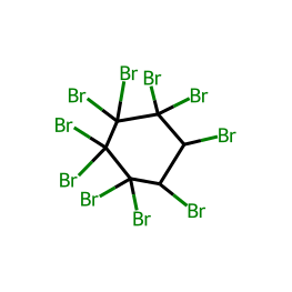 BrC1C(Br)C(Br)(Br)C(Br)(Br)C(Br)(Br)C1(Br)Br